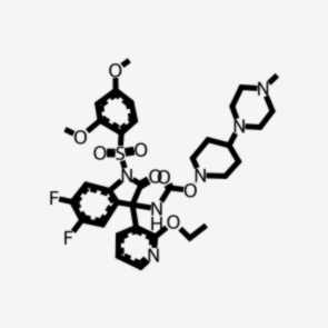 CCOc1ncccc1C1(NC(=O)ON2CCC(N3CCN(C)CC3)CC2)C(=O)N(S(=O)(=O)c2ccc(OC)cc2OC)c2cc(F)c(F)cc21